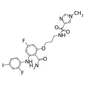 Cn1cnc(S(=O)(=O)NCCCOc2cc(F)cc(Nc3ccc(I)cc3F)c2C(N)=O)c1